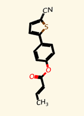 C/C=C/C(=O)Oc1ccc(-c2ccc(C#N)s2)cc1